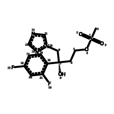 CS(=O)(=O)OCC[C@](O)(Cn1cncn1)c1ccc(F)cc1F